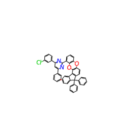 Clc1cccc(-c2cc(-c3ccccc3)nc(-c3cccc4c3Oc3c(ccc5c3-c3ccccc3C5(c3ccccc3)c3ccccc3)O4)n2)c1